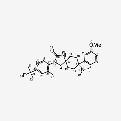 COc1cccc([C@]2(N(C)C)CC[C@@]3(CC2)CN(c2cnc(C(C)(C)F)cc2C)C(=O)N3)c1